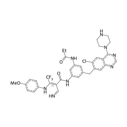 CCC(=O)Nc1cc(Cc2cc3ncnc(N4CCNCC4)c3cc2Cl)cc(NC(=O)/C(C=N)=C(/Nc2ccc(OC)cc2)C(F)(F)F)c1